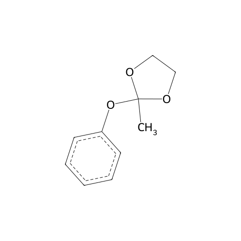 CC1(Oc2ccccc2)OCCO1